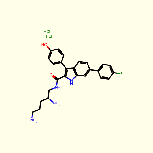 Cl.Cl.NCCC[C@H](N)CNC(=O)c1[nH]c2cc(-c3ccc(F)cc3)ccc2c1-c1ccc(O)cc1